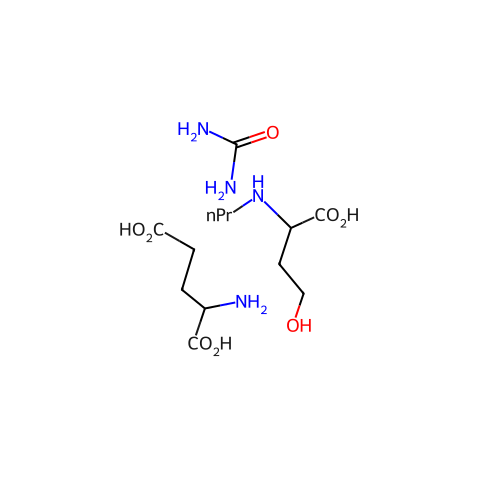 CCCNC(CCO)C(=O)O.NC(CCC(=O)O)C(=O)O.NC(N)=O